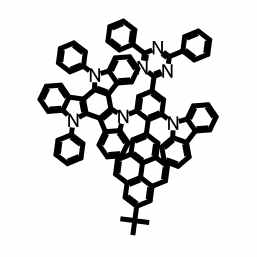 CC(C)(C)c1cc2ccc3cc(-c4c(-n5c6ccccc6c6ccccc65)cc(-c5nc(-c6ccccc6)nc(-c6ccccc6)n5)cc4-n4c5ccccc5c5c6c(c7ccccc7n6-c6ccccc6)c6c(c7ccccc7n6-c6ccccc6)c54)cc4ccc(c1)c2c34